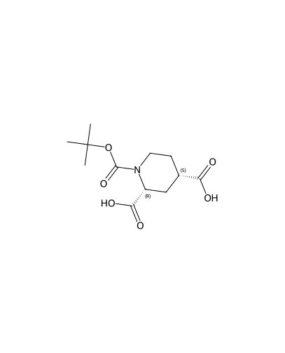 CC(C)(C)OC(=O)N1CC[C@H](C(=O)O)C[C@@H]1C(=O)O